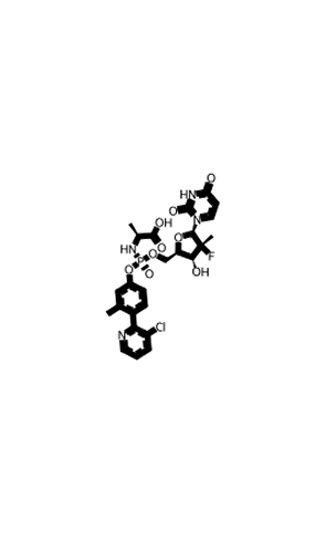 Cc1cc(OP(=O)(N[C@@H](C)C(=O)O)OC[C@H]2O[C@@H](n3ccc(=O)[nH]c3=O)[C@](C)(F)[C@@H]2O)ccc1-c1ncccc1Cl